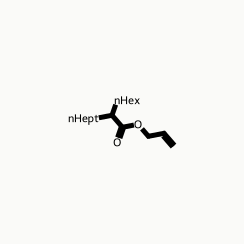 C=CCOC(=O)C(CCCCCC)CCCCCCC